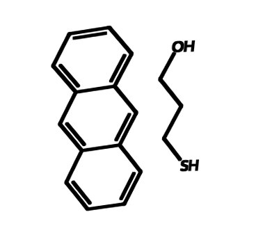 OCCCS.c1ccc2cc3ccccc3cc2c1